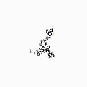 NC(=O)c1ccc2c(c1)c1c(n2C(=O)NCc2ccnc(Cl)c2)CCC(CC/C=C/c2ccc(Cl)c(F)c2)CCC1